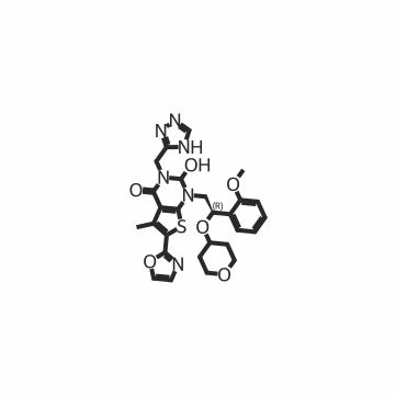 COc1ccccc1[C@H](CN1c2sc(-c3ncco3)c(C)c2C(=O)N(Cc2nnc[nH]2)C1O)OC1CCOCC1